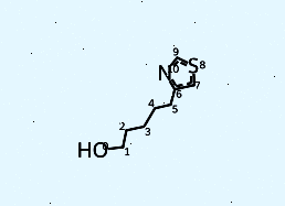 OCCCCCc1cscn1